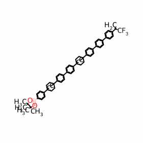 C=C(c1ccc(-c2ccc(-c3ccc(C45CCC(c6ccc(-c7ccc(C89CCC(c%10ccc(B%11OC(C)(C)C(C)(C)O%11)cc%10)(CC8)CC9)cc7)cc6)(CC4)CC5)cc3)cc2)cc1)C(F)(F)F